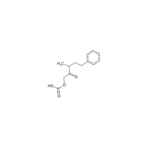 CC(CCc1ccccc1)C(=O)CO[PH](=O)O